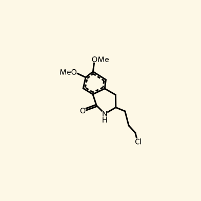 COc1cc2c(cc1OC)C(=O)NC(CCCCl)C2